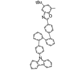 Cc1cc(C(C)(C)C)cc2nc(-c3ccc(-c4ccccc4-c4ccccc4-c4ccc(-n5c6ccccc6c6ccccc65)cc4)cc3)oc12